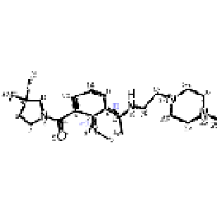 C/N=C1/C(C(=O)N2CCC(F)(F)C2)=CC=C/C1=C(/C)NCCN1CCN(C)CC1